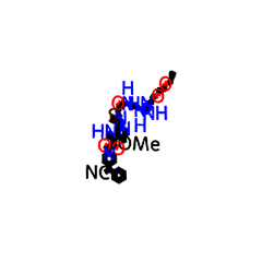 C#CCOCCOCCNC(=N)NCCNC1OC1c1nc(-c2ncc(OC)c3c(C(=O)C(=O)N4CCC(=C(C#N)c5ccccc5)CC4)c[nH]c23)cs1